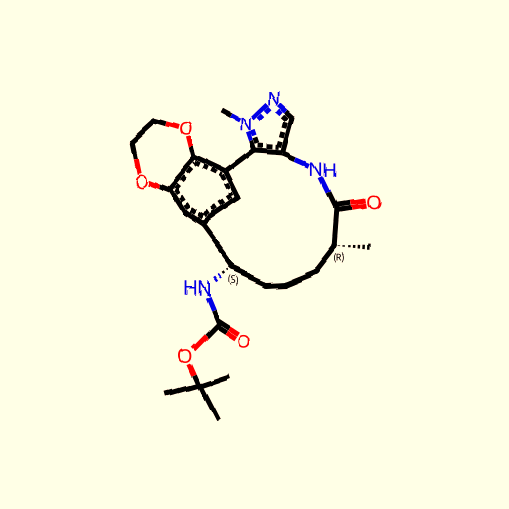 C[C@@H]1CCC[C@H](NC(=O)OC(C)(C)C)c2cc3c(c(c2)-c2c(cnn2C)NC1=O)OCCO3